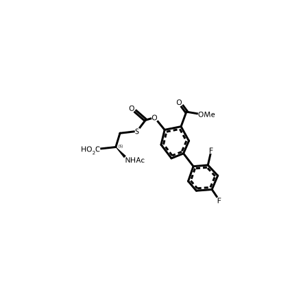 COC(=O)c1cc(-c2ccc(F)cc2F)ccc1OC(=O)SC[C@@H](NC(C)=O)C(=O)O